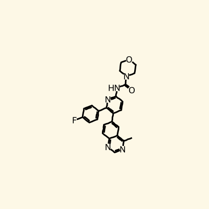 Cc1ncnc2ccc(-c3ccc(NC(=O)N4CCOCC4)nc3-c3ccc(F)cc3)cc12